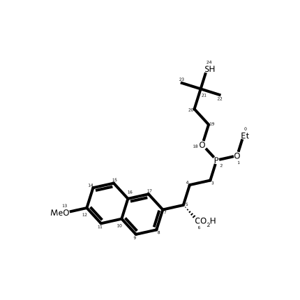 CCOP(CC[C@H](C(=O)O)c1ccc2cc(OC)ccc2c1)OCCC(C)(C)S